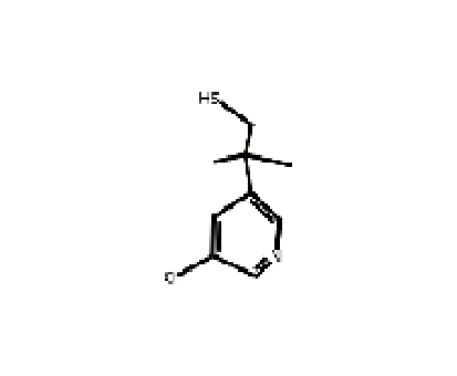 CC(C)(CS)c1cncc(Cl)c1